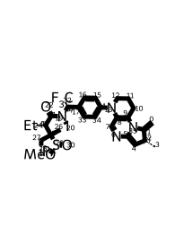 C=C1[C@H](C)C=C2N=CC3=C(CCCN3c3ccc([C@H](N(I)C(=O)[C@@H](CC)C(C)(CC(C)C)S(=O)OC)C(F)(F)F)cc3)N12